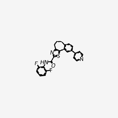 O=C(Nc1c(F)cccc1F)c1nc2c(s1)-c1cc(-c3ccncc3)ccc1CCC2